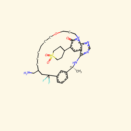 C[C@H]1Nc2ncnc3c2cc(C2CCS(=O)(=O)CC2)c(=O)n3CCCOCCCCCCC(CN)CC(F)(F)c2cccc1c2